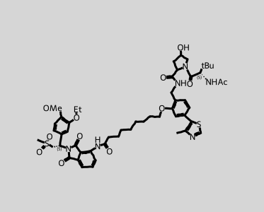 CCOc1cc([C@@H](CS(C)(=O)=O)N2C(=O)c3cccc(NC(=O)CCCCCCCCOc4cc(-c5scnc5C)ccc4CNC(=O)C4CC(O)CN4C(=O)[C@@H](NC(C)=O)C(C)(C)C)c3C2=O)ccc1OC